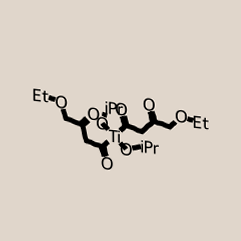 CCOCC(=O)C[C](=O)[Ti]([O]C(C)C)([O]C(C)C)[C](=O)CC(=O)COCC